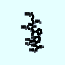 CC[C@H](C)[C@H](NC(=O)[C@@H](NC(=O)[C@@H]1CCCN1C(=O)[C@H](CC(=O)O)NC(=O)[C@@H](N)CCC(=O)O)[C@@H](C)O)C(=O)O